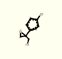 ClCC1(c2ccc(Cl)cc2)CO1